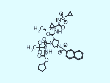 C=C[C@@H]1C[C@]1(NC(=O)[C@@H]1CN(S(=O)(=O)c2ccc3ccccc3c2)CN1C(=O)[C@@H](NC(=O)OC1CCCC1)C(C)(C)C)C(=O)NS(=O)(=O)C1CC1